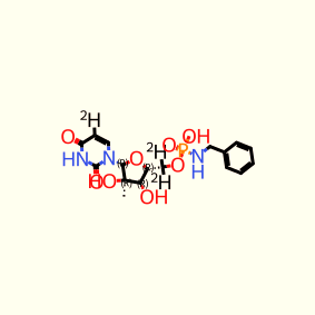 [2H]c1cn([C@@H]2O[C@H](C([2H])([2H])OP(=O)(O)NCc3ccccc3)[C@@H](O)[C@@]2(C)O)c(=O)[nH]c1=O